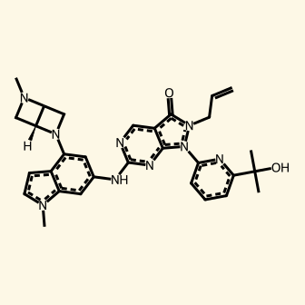 C=CCn1c(=O)c2cnc(Nc3cc(N4CC5[C@H]4CN5C)c4ccn(C)c4c3)nc2n1-c1cccc(C(C)(C)O)n1